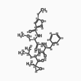 CCc1cc(C(=O)NC(COC)C(=O)N[C@@H](Cc2ccccc2)C(=O)NC(CC(C)C)C(=O)[C@@]2(C)CO2)no1